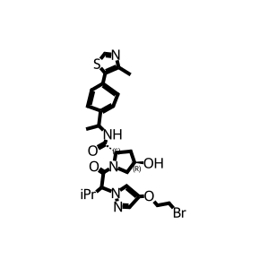 Cc1ncsc1-c1ccc(C(C)NC(=O)[C@@H]2C[C@@H](O)CN2C(=O)C(C(C)C)n2cc(OCCBr)cn2)cc1